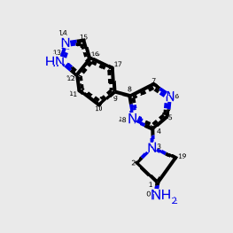 NC1CN(c2cncc(-c3ccc4[nH]ncc4c3)n2)C1